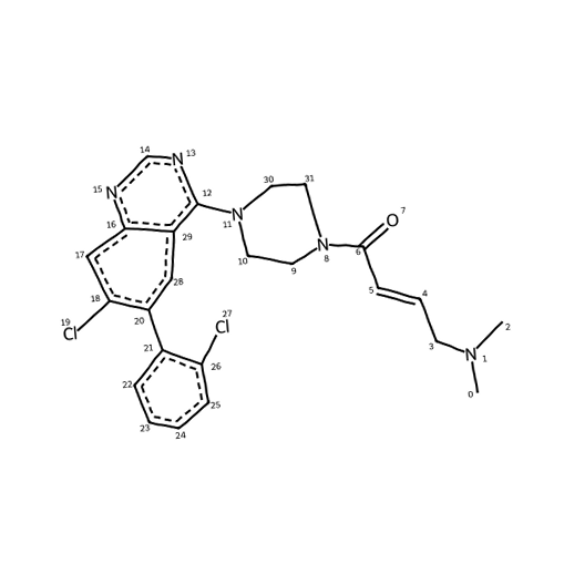 CN(C)CC=CC(=O)N1CCN(c2ncnc3cc(Cl)c(-c4ccccc4Cl)cc23)CC1